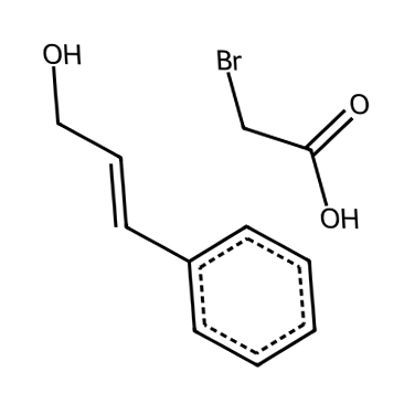 O=C(O)CBr.OCC=Cc1ccccc1